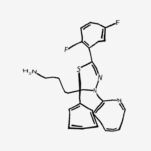 NCCCC1(c2ccccc2)SC(c2cc(F)ccc2F)=NN1c1ccccn1